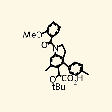 COc1ccccc1C(=O)N1CCc2c1cc(C)c(C(OC(C)(C)C)C(=O)O)c2-c1ccc(C)cc1